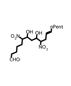 CCCCCC=CCC(C(O)CC(O)C(CCCC[C]=O)[N+](=O)[O-])[N+](=O)[O-]